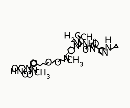 C=C(C)c1nn([C@H]2CC[C@H](CN(C)CCOCCOCCCc3cccc4c3n(C)c(=O)n4C3CCC(=O)NC3=O)CC2)cc1NC(=O)c1coc(-c2ccnc(NCC3CC3)c2)n1